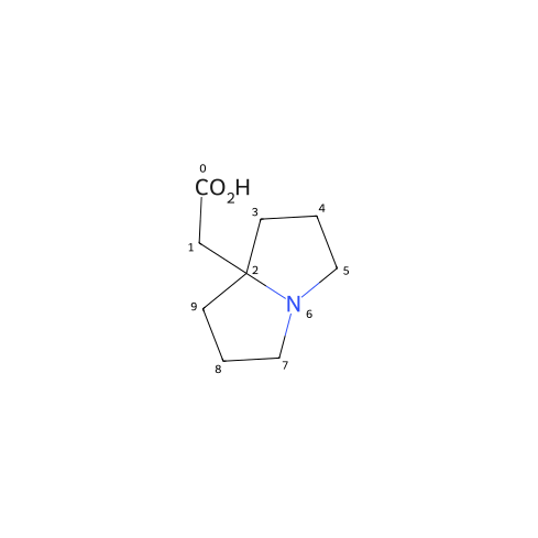 O=C(O)CC12CCCN1CCC2